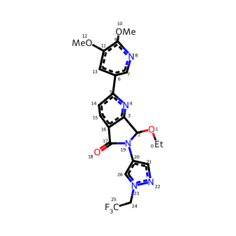 CCOC1c2nc(-c3cnc(OC)c(OC)c3)ccc2C(=O)N1c1cnn(CC(F)(F)F)c1